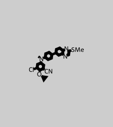 CSc1cnc2cc(-c3ccc(N(C)c4cc(Cl)c(OC5CC5)c(C#N)c4)cc3)ccc2n1